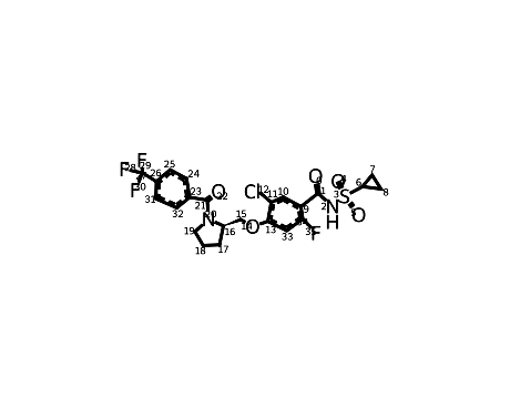 O=C(NS(=O)(=O)C1CC1)c1cc(Cl)c(OC[C@H]2CCCN2C(=O)c2ccc(C(F)(F)F)cc2)cc1F